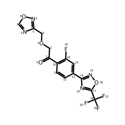 O=C(COCc1ncon1)c1ccc(-c2noc(C(F)(F)F)n2)cc1F